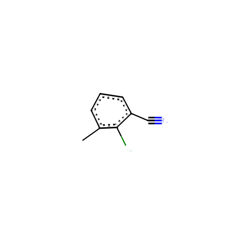 [CH2]c1cccc(C#N)c1Br